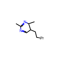 CC1=NC(C)C(CCC(C)C)C=N1